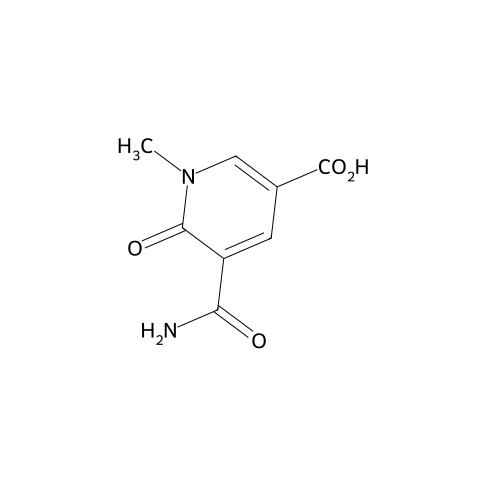 Cn1cc(C(=O)O)cc(C(N)=O)c1=O